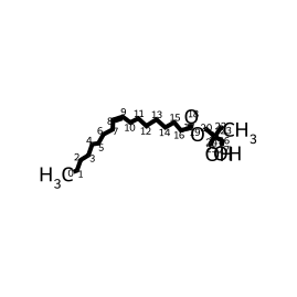 CCCCCCCC/C=C\CCCCCCCC(=O)OCC(CC)(CO)CO